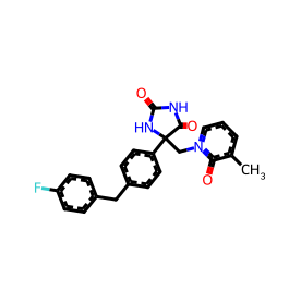 Cc1cccn(CC2(c3ccc(Cc4ccc(F)cc4)cc3)NC(=O)NC2=O)c1=O